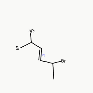 CCCC(Br)/C=C/C(C)Br